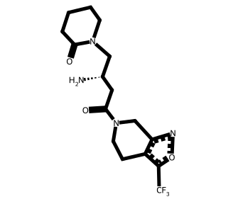 N[C@@H](CC(=O)N1CCc2c(noc2C(F)(F)F)C1)CN1CCCCC1=O